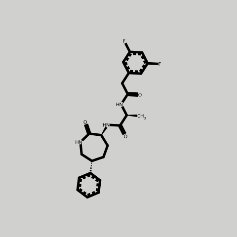 C[C@H](NC(=O)Cc1cc(F)cc(F)c1)C(=O)N[C@H]1CC[C@H](c2ccccc2)CNC1=O